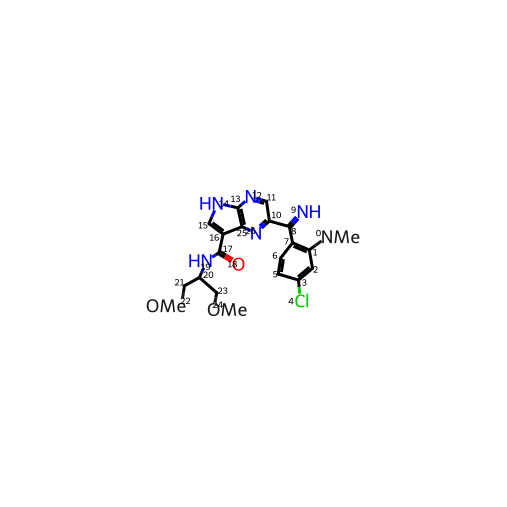 CNc1cc(Cl)ccc1C(=N)c1cnc2[nH]cc(C(=O)NC(COC)COC)c2n1